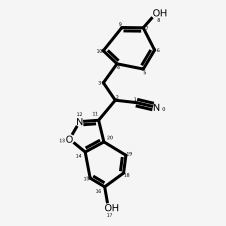 N#CC(Cc1ccc(O)cc1)c1noc2cc(O)ccc12